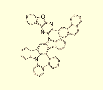 C1=CC2c3cc4c(c5c3N(c3ccccc3-c3ccccc3-5)C2C=C1)c1ccccc1n4-c1nc2c(nc1-c1ccc3ccc4ccccc4c3c1)oc1ccccc12